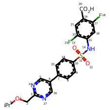 CC(C)OCc1ncc(-c2ccc(S(=O)(=O)Nc3cc(F)c(C(=O)O)cc3F)cc2)cn1